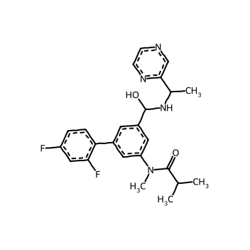 CC(C)C(=O)N(C)c1cc(-c2ccc(F)cc2F)cc(C(O)NC(C)c2cnccn2)c1